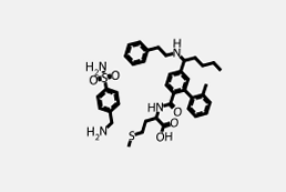 CCCCC(NCCc1ccccc1)c1ccc(C(=O)NC(CCSC)C(=O)O)c(-c2ccccc2C)c1.NCc1ccc(S(N)(=O)=O)cc1